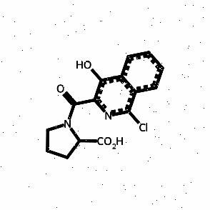 O=C(O)C1CCCN1C(=O)c1nc(Cl)c2ccccc2c1O